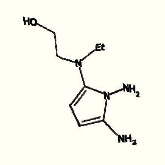 CCN(CCO)c1ccc(N)n1N